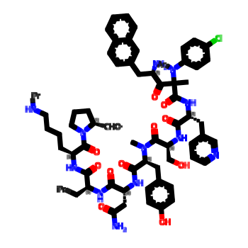 CC(=O)N(c1ccc(Cl)cc1)C(C)(C(=O)N[C@H](Cc1cccnc1)C(=O)N[C@@H](CO)C(=O)N(C)[C@@H](Cc1ccc(O)cc1)C(=O)N[C@H](CC(N)=O)C(=O)N[C@@H](CC(C)C)C(=O)N[C@@H](CCCCNC(C)C)C(=O)N1CCC[C@H]1[C]=O)C(=O)[C@H](N)Cc1ccc2ccccc2c1